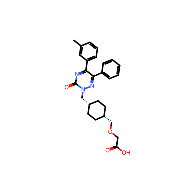 Cc1cccc(-c2nc(=O)n(C[C@H]3CC[C@@H](COCC(=O)O)CC3)nc2-c2ccccc2)c1